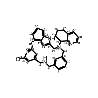 Clc1cc(CNCc2cccc(CN(Cc3nc4ccccc4[nH]3)C3CCCc4cccnc43)c2)cc(Cl)n1